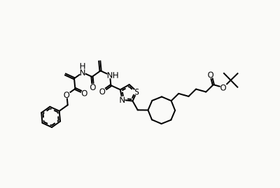 C=C(NC(=O)c1csc(CC2CCCCC(CCCCC(=O)OC(C)(C)C)CC2)n1)C(=O)NC(=C)C(=O)OCc1ccccc1